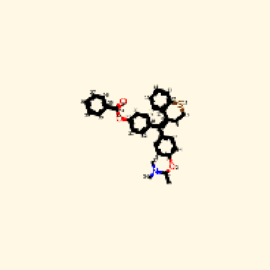 CC(Oc1ccc(C(=C2CCSc3ccccc32)c2ccc(OC(=O)c3ccccc3)cc2)cc1)N(C)C